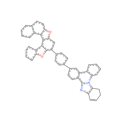 C1=Cc2nc3c4ccc(-c5ccc(-c6cc7oc8ccc9ccccc9c8c7c7c6oc6ccccc67)cc5)cc4c4ccccc4n3c2CC1